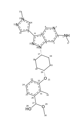 CNc1cc2c(cn1)c(-c1cnn(C)c1)nn2[C@H]1CC[C@@H](Oc2cccc(C(O)OC)c2C)CC1